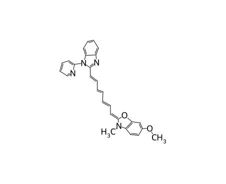 COc1ccc2c(c1)O\C(=C/C=C/C=C/C=C/c1nc3ccccc3n1-c1ccccn1)N2C